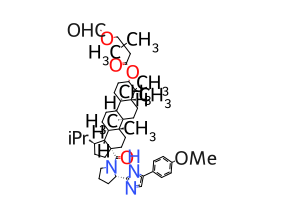 COc1ccc(-c2cnc([C@@H]3CCCN3C(=O)[C@]34CC[C@@H](C(C)C)[C@@H]3[C@H]3CC[C@@H]5[C@@]6(C)CC[C@H](OC(=O)CC(C)(C)COC=O)C(C)(C)[C@@H]6CC[C@@]5(C)[C@]3(C)CC4)[nH]2)cc1